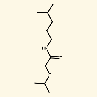 CC(C)CCCNC(=O)COC(C)C